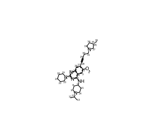 COc1cc2c(NC3CCN(C(C)C)CC3)nc(N3CCCCC3)nc2cc1C#CCCN1CC[C@@H](C)C1